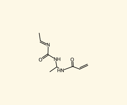 C=CC(=O)NC(C)NC(=O)N=CC